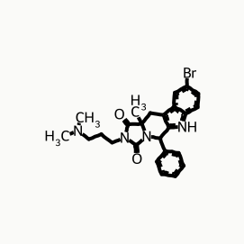 CN(C)CCCN1C(=O)N2C(c3ccccc3)c3[nH]c4ccc(Br)cc4c3CC2(C)C1=O